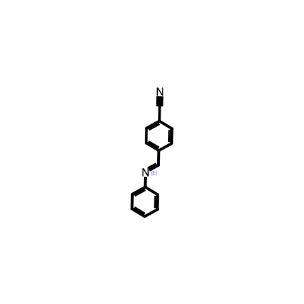 N#Cc1ccc(/C=N/c2ccccc2)cc1